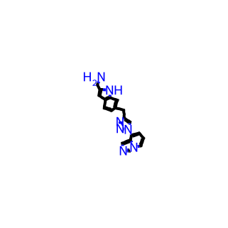 NCc1cc2ccc(Cc3cn(-c4cccn5cncc45)nn3)cc2[nH]1